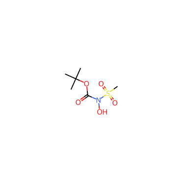 CC(C)(C)OC(=O)N(O)S(C)(=O)=O